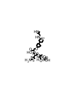 C[n+]1ccc(-c2ccc(OCC(O/N=C(\C(=O)N[C@@H]3C(=O)N(OS(=O)(=O)O)C3(C)C)c3csc(N)n3)C(=O)O)cc2)cc1NCC1CNC1